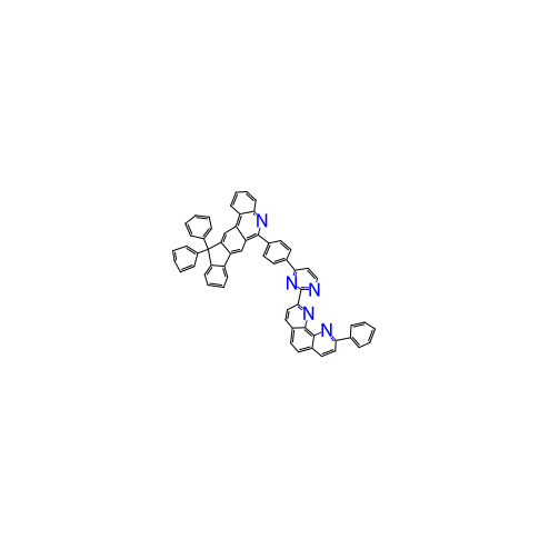 c1ccc(-c2ccc3ccc4ccc(-c5nccc(-c6ccc(-c7nc8ccccc8c8cc9c(cc78)-c7ccccc7C9(c7ccccc7)c7ccccc7)cc6)n5)nc4c3n2)cc1